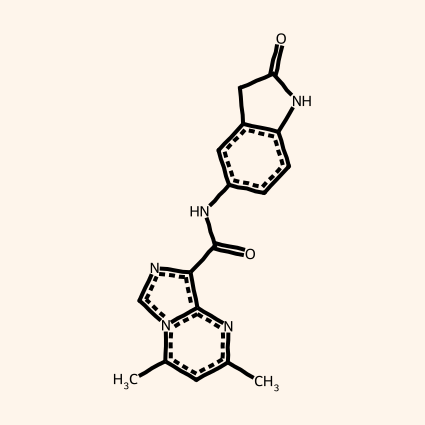 Cc1cc(C)n2cnc(C(=O)Nc3ccc4c(c3)CC(=O)N4)c2n1